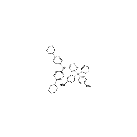 CC(C)(C)c1ccc(C2(c3ccc(C(C)(C)C)cc3)c3ccccc3-c3ccc(N(c4ccc(C5CCCCC5)cc4)c4ccc(C5CCCCC5)cc4)cc32)cc1